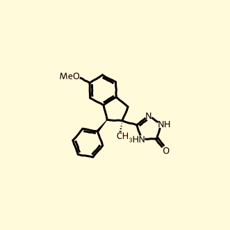 COc1ccc2c(c1)[C@H](c1ccccc1)[C@](C)(c1n[nH]c(=O)[nH]1)C2